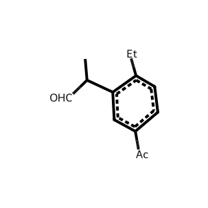 CCc1ccc(C(C)=O)cc1C(C)C=O